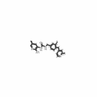 CCc1ncc(C)cc1NC(=O)NCc1ccc(Cc2ccnc(C)c2)c(C)c1